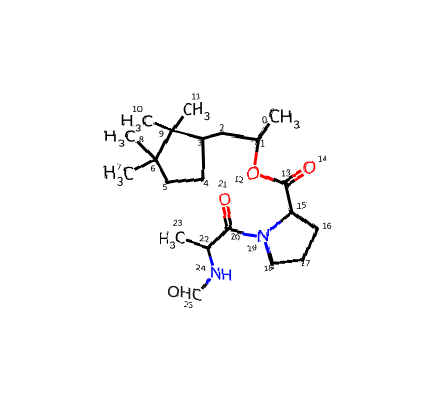 CC(CC1CCC(C)(C)C1(C)C)OC(=O)C1CCCN1C(=O)C(C)NC=O